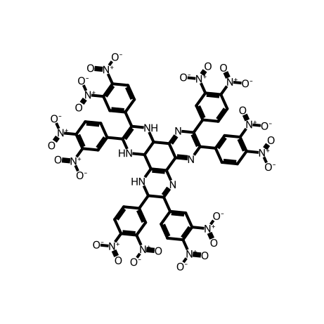 O=[N+]([O-])c1ccc(C2=NC3=C(NC2c2ccc([N+](=O)[O-])c([N+](=O)[O-])c2)C2NC(c4ccc([N+](=O)[O-])c([N+](=O)[O-])c4)=C(c4ccc([N+](=O)[O-])c([N+](=O)[O-])c4)NC2c2nc(-c4ccc([N+](=O)[O-])c([N+](=O)[O-])c4)c(-c4ccc([N+](=O)[O-])c([N+](=O)[O-])c4)nc23)cc1[N+](=O)[O-]